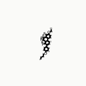 CCCCOc1ccc(-c2ccc3c(c2F)C(F)(F)C(F)(F)c2c-3ccc(OCC)c2F)cc1